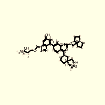 Cc1cc2c(nnn2COCC[Si](C)(C)C)c(-c2ncc3c(N4CCCC5(CNS(=O)(=O)N5)C4)nc(OCC45CCCN4CCC5)nc3c2F)c1C